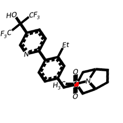 CCc1cc(CN2CC3CCC(C2)N3S(C)(=O)=O)ccc1-c1ccc(C(O)(C(F)(F)F)C(F)(F)F)cn1